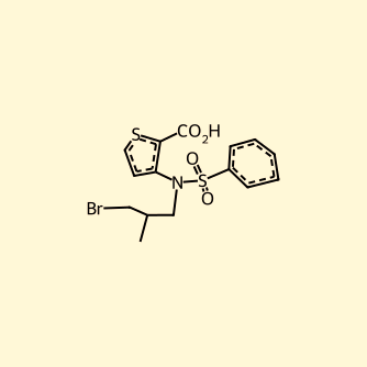 CC(CBr)CN(c1ccsc1C(=O)O)S(=O)(=O)c1ccccc1